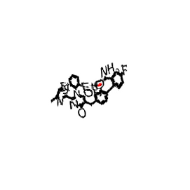 CCc1cccc(CC)c1-n1c(-c2nc(C)cs2)nc(=O)c(Cc2ccc(-c3ccc(F)cc3C(N)=O)c(F)c2)c1O